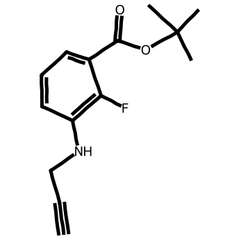 C#CCNc1cccc(C(=O)OC(C)(C)C)c1F